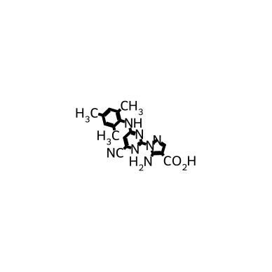 Cc1cc(C)c(Nc2cc(C#N)nc(-n3ncc(C(=O)O)c3N)n2)c(C)c1